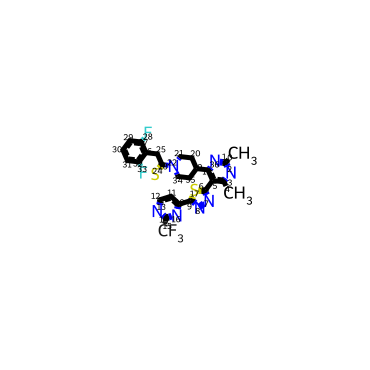 Cc1nc(C)c(-c2nnc(-c3ccnc(C(F)(F)F)n3)s2)c(C2CCN(C(=S)Cc3c(F)cccc3F)CC2)n1